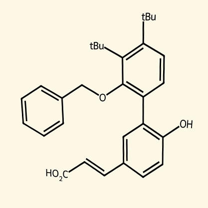 CC(C)(C)c1ccc(-c2cc(C=CC(=O)O)ccc2O)c(OCc2ccccc2)c1C(C)(C)C